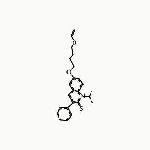 C=COCCCCOc1ccc2c(c1)cc(-c1ccccc1)c(=S)n2C(C)C